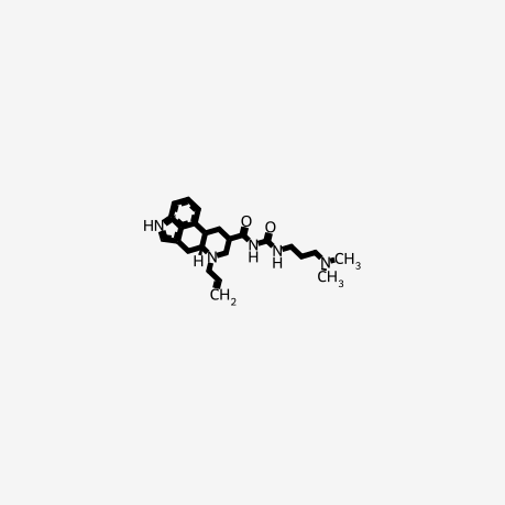 C=CCN1CC(C(=O)NC(=O)NCCCN(C)C)CC2c3cccc4[nH]cc(c34)C[C@H]21